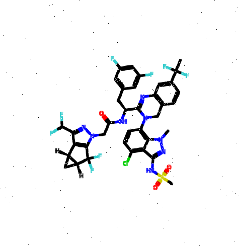 Cn1nc(NS(C)(=O)=O)c2c(Cl)ccc(N3Cc4ccc(C(C)(F)F)cc4N=C3[C@H](Cc3cc(F)cc(F)c3)NC(=O)Cn3nc(C(F)F)c4c3C(F)(F)[C@@H]3C[C@H]43)c21